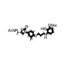 COc1cccc(NCCCOc2ccc(N3C[C@H](CNC(C)=O)OC3=O)cc2F)c1O